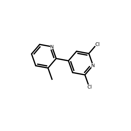 Cc1cccnc1-c1cc(Cl)nc(Cl)c1